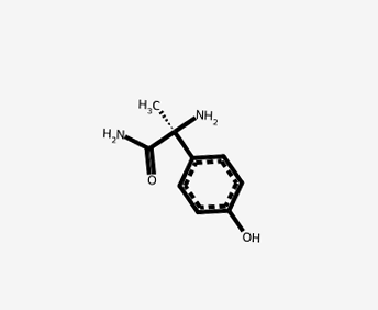 C[C@@](N)(C(N)=O)c1ccc(O)cc1